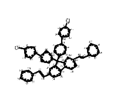 Clc1ccc(-c2ccc(C3(c4ccc(-c5ccc(Cl)cc5)cc4)c4cc(C=Cc5ccccc5)ccc4-c4ccc(C=Cc5ccccc5)cc43)cc2)cc1